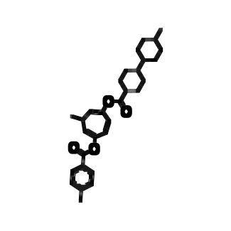 Cc1ccc(C(=O)OC2=CC(C)C=C(OC(=O)C3CCC(C4CCC(C)CC4)CC3)C=C2)cc1